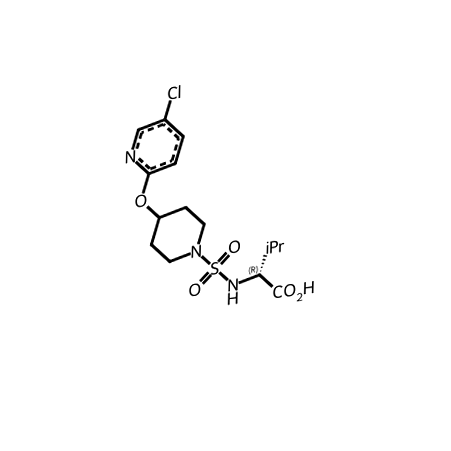 CC(C)[C@@H](NS(=O)(=O)N1CCC(Oc2ccc(Cl)cn2)CC1)C(=O)O